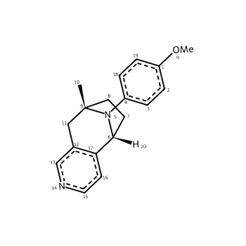 COc1ccc(N2[C@@H]3CC[C@@]2(C)Cc2cnccc23)cc1